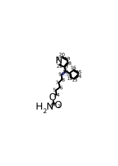 NC(=O)OCCCCC/C=C(\c1ccccc1)c1cccnc1